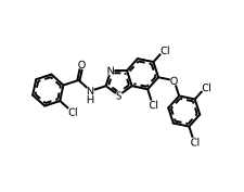 O=C(Nc1nc2cc(Cl)c(Oc3ccc(Cl)cc3Cl)c(Cl)c2s1)c1ccccc1Cl